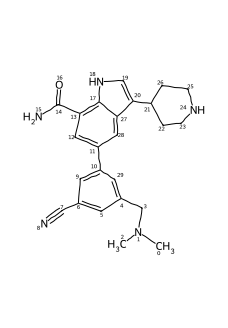 CN(C)Cc1cc(C#N)cc(-c2cc(C(N)=O)c3[nH]cc(C4CCNCC4)c3c2)c1